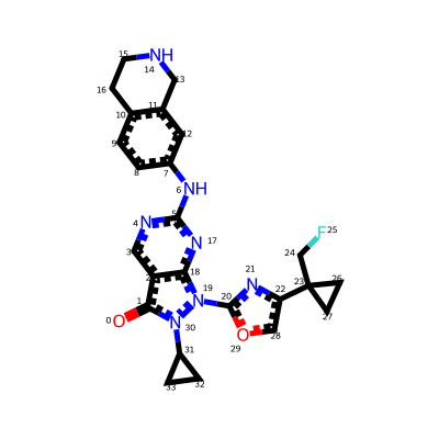 O=c1c2cnc(Nc3ccc4c(c3)CNCC4)nc2n(-c2nc(C3(CF)CC3)co2)n1C1CC1